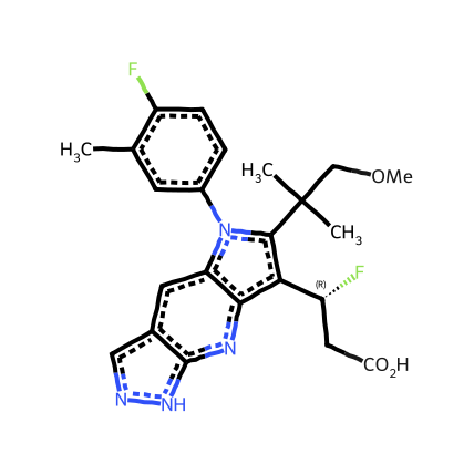 COCC(C)(C)c1c([C@H](F)CC(=O)O)c2nc3[nH]ncc3cc2n1-c1ccc(F)c(C)c1